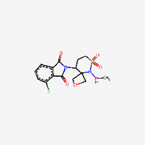 CPN1C2(COC2)C(N2C(=O)c3cccc(F)c3C2=O)CCS1(=O)=O